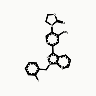 Nc1cc(-c2nn(Cc3ccccc3F)c3ncccc23)ncc1N1CCOC1=O